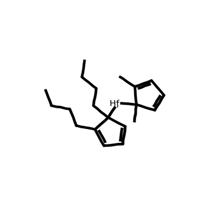 CCCCC1=CC=C[C]1(CCCC)[Hf][C]1(C)C=CC=C1C